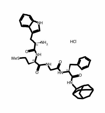 CSCC[C@@H](NC(=O)[C@@H](N)Cc1c[nH]c2ccccc12)C(=O)NCC(=O)N[C@@H](Cc1ccccc1)C(=O)NC1C2CC3CC(C2)CC1C3.Cl